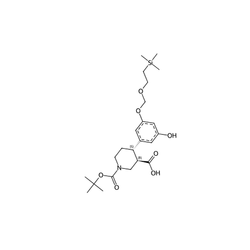 CC(C)(C)OC(=O)N1CC[C@H](c2cc(O)cc(OCOCC[Si](C)(C)C)c2)[C@@H](C(=O)O)C1